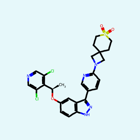 C[C@@H](Oc1ccc2[nH]nc(-c3ccc(N4CC5(CCS(=O)(=O)CC5)C4)nc3)c2c1)c1c(Cl)cncc1Cl